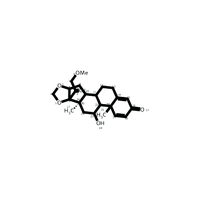 COCC(=O)C12OCOC1CC1C3CCC4=CC(=O)C=CC4(C)C3C(O)C[C@]12C